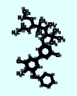 [CH2]C(C(Oc1cc(Cl)cc(-c2nc(Cl)c(C)c(NC3CCOCC3)n2)c1)C(C)(C)C)C(C)(C)C(O[SiH2]C)O[SiH2]C